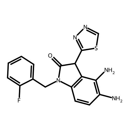 Nc1ccc2c(c1N)C(c1nncs1)C(=O)N2Cc1ccccc1F